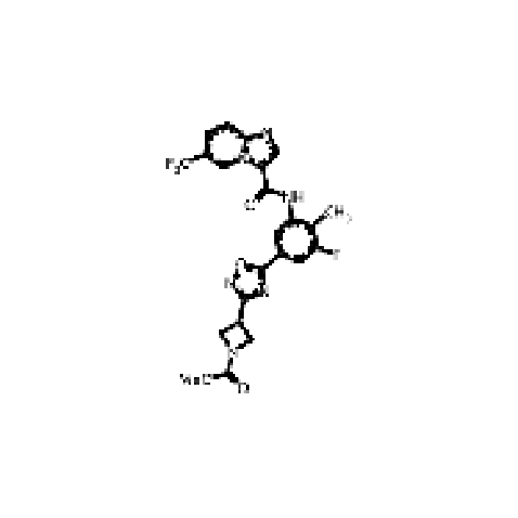 COC(=O)N1CC(c2noc(-c3cc(F)c(C)c(NC(=O)c4cnc5ccc(C(F)(F)F)cn45)c3)n2)C1